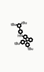 CC(C)(C)c1ccc(C2(c3ccc(C(C)(C)C)cc3)c3ccccc3-c3ccc(Nc4ccc(-c5cc(C(C)(C)C)cc(C(C)(C)C)c5)cc4)cc32)cc1